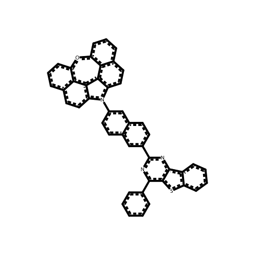 c1ccc(-c2nc(-c3ccc4cc(-n5c6ccc7cccc8oc9cccc%10ccc5c(c%109)c6c78)ccc4c3)nc3c2sc2ccccc23)cc1